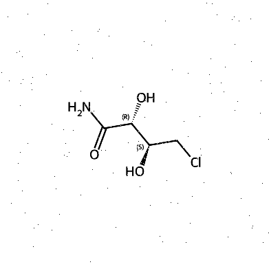 NC(=O)[C@H](O)[C@H](O)CCl